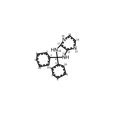 c1ccc(C2(c3ccccc3)Nc3nccnc3N2)cc1